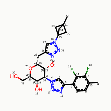 CO[C@@H]1[C@@H](n2cc(-c3ccc(C)c(F)c3F)nn2)[C@@H](O)[C@@H](CO)O[C@@H]1Cc1cn(C23CC(C)(C2)C3)nn1